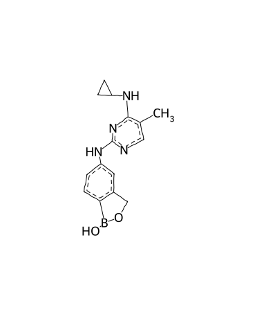 Cc1cnc(Nc2ccc3c(c2)COB3O)nc1NC1CC1